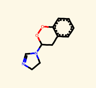 C1=NCCN1C1Cc2ccccc2OO1